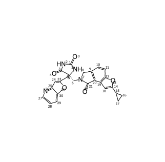 O=C1NC(=O)[C@](CN2Cc3ccc4oc(C5CC5)cc4c3C2=O)(c2cc3ncccc3o2)N1